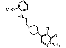 COc1ccccc1NCCN1CCN(c2cnn(C)c(=O)c2Cl)CC1